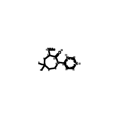 CNC1CC(C)(C)CCN(c2ccncn2)C1=O